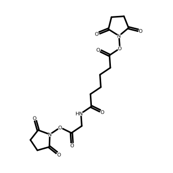 O=C(CCCCC(=O)ON1C(=O)CCC1=O)NCC(=O)ON1C(=O)CCC1=O